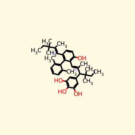 CCC(C)(C)/C(C)=C/c1ccc(O)c(/C=C(\C)C(c2cc(O)c(O)c(O)c2)C(C)(C)CC)c1-c1c(C)cccc1C